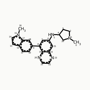 CN1CCC(Nc2cc(-c3ccc4ccn(C)c4c3)c3nccnc3c2)C1